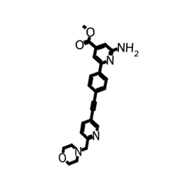 COC(=O)c1cc(N)nc(-c2ccc(C#Cc3ccc(CN4CCOCC4)nc3)cc2)c1